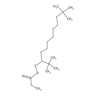 CCC(=O)OSC(CCCCCCCC(C)(C)C)C(C)(C)C